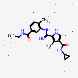 CCNC(=O)c1ccc(C)c(NC(=N)c2[nH]cc(C(=O)NC3CC3)c2C)c1